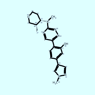 CN(c1ncc(-c2ccc(-c3cnn(C)c3)cc2O)nn1)[C@H]1CCOC[C@H]1F